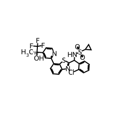 C[C@@](O)(c1ccnc(-c2cccc3nc(C(NS(=O)(=O)C4CC4)c4ccccc4Cl)sc23)c1)C(F)(F)F